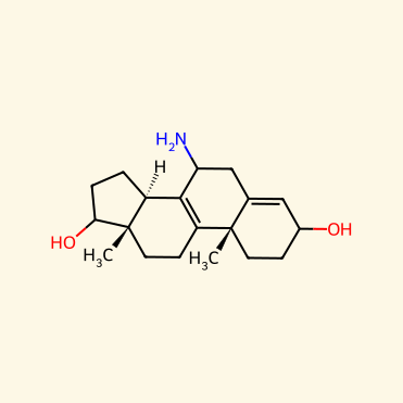 C[C@]12CCC(O)C=C1CC(N)C1=C2CC[C@]2(C)C(O)CC[C@@H]12